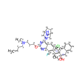 C=CCCN(C)CCCOc1nc(N2CC3CCC(C2)N3)c2cc(Cl)c(/C(C)=C/C(O)=C\c3ccccc3C)c(F)c2n1